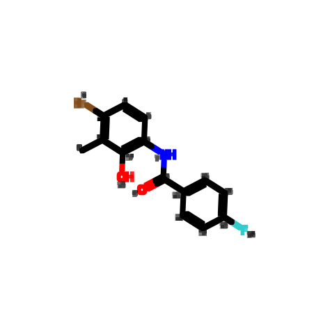 Cc1c(Br)ccc(NC(=O)c2ccc(F)cc2)c1O